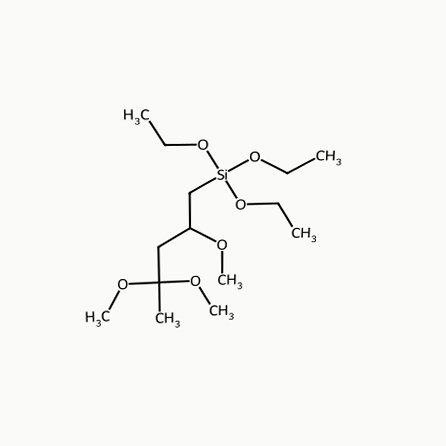 CCO[Si](CC(CC(C)(OC)OC)OC)(OCC)OCC